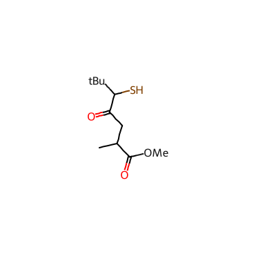 COC(=O)C(C)CC(=O)C(S)C(C)(C)C